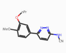 CCCOc1cc(-c2ccc(NC#N)nn2)ccc1OC